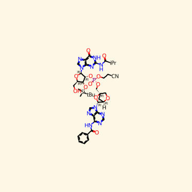 CC(C)C(=O)Nc1nc2c(ncn2[C@@H]2O[C@H](CO)[C@@H](O[Si](C)(C)C(C)(C)C)[C@H]2OP(=O)(OCCC#N)OC[C@@]23[CH][C@@H](OC2)[C@H](n2cnc4c(NC(=O)c5ccccc5)ncnc42)O3)c(=O)[nH]1